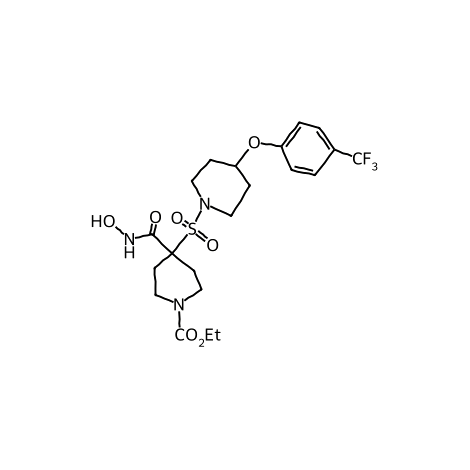 CCOC(=O)N1CCC(C(=O)NO)(S(=O)(=O)N2CCC(Oc3ccc(C(F)(F)F)cc3)CC2)CC1